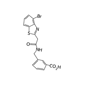 O=C(Cc1nc2c(Br)cccc2s1)NCc1cccc(C(=O)O)c1